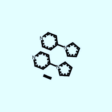 C=C.c1ccn(-c2ccncc2)c1.c1ccn(-c2ccncc2)c1